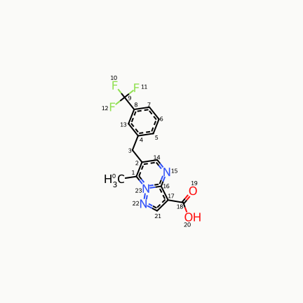 Cc1c(Cc2cccc(C(F)(F)F)c2)cnc2c(C(=O)O)cnn12